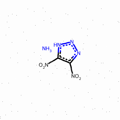 N.O=[N+]([O-])c1nn[nH]c1[N+](=O)[O-]